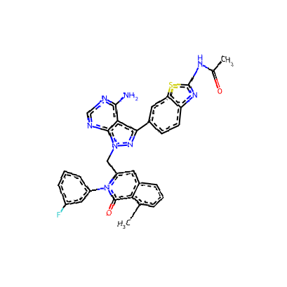 CC(=O)Nc1nc2ccc(-c3nn(Cc4cc5cccc(C)c5c(=O)n4-c4cccc(F)c4)c4ncnc(N)c34)cc2s1